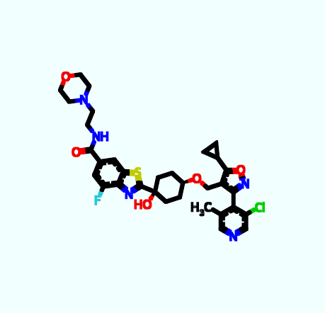 Cc1cncc(Cl)c1-c1noc(C2CC2)c1CO[C@H]1CC[C@](O)(c2nc3c(F)cc(C(=O)NCCN4CCOCC4)cc3s2)CC1